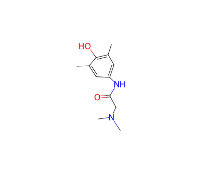 Cc1cc(NC(=O)CN(C)C)cc(C)c1O